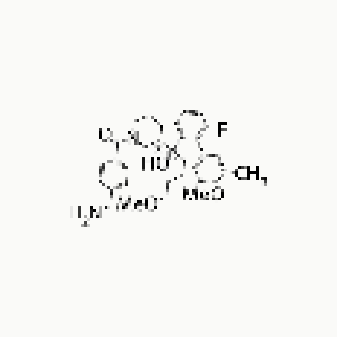 COCCCC[C@@](O)(c1cccc(F)c1-c1cc(C)cc(OC)c1)[C@@H]1CCCN(C(=O)c2ccc(CN)cc2)C1